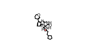 O=C(CCC1CCCC1)NC1(C(F)(F)F)C(=O)Nc2nc3c(C4=COCCC4)cccc3n21